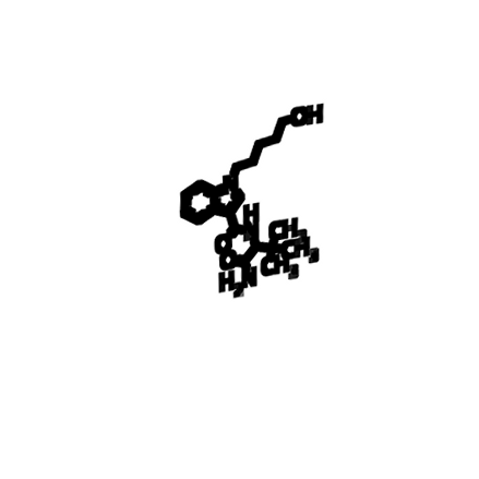 CC(C)(C)C(NC(=O)c1cn(CCCCCO)c2ccccc12)C(N)=O